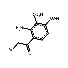 COc1ccc(C(=O)CC(C)=O)c(N)c1C(=O)O